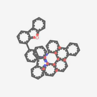 c1cc(-c2cccc3c2oc2ccccc23)cc(N(c2ccccc2-c2ccc3ccccc3c2)c2ccccc2-c2ccccc2-n2c3ccccc3c3ccccc32)c1